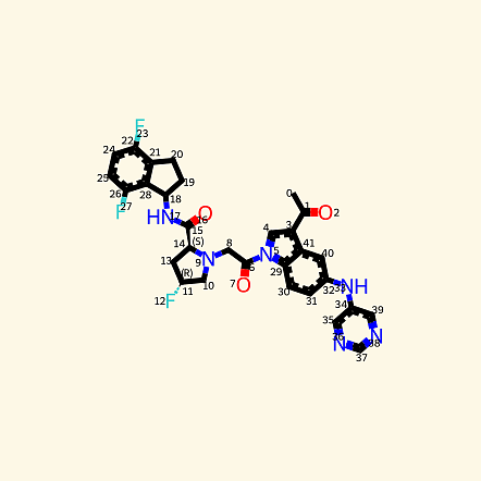 CC(=O)c1cn(C(=O)CN2C[C@H](F)C[C@H]2C(=O)NC2CCc3c(F)ccc(F)c32)c2ccc(Nc3cncnc3)cc12